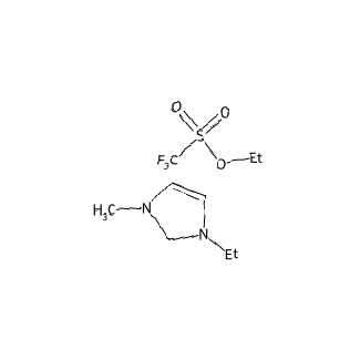 CCN1C=CN(C)C1.CCOS(=O)(=O)C(F)(F)F